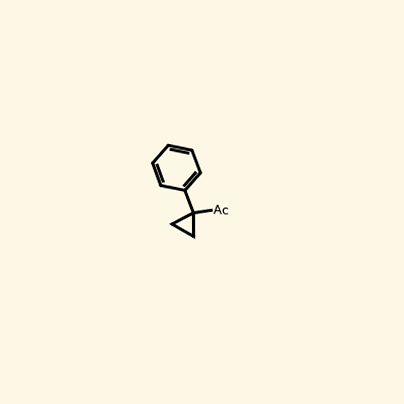 CC(=O)C1(c2ccccc2)CC1